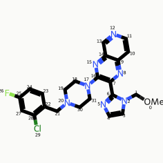 COCn1ccnc1-c1nc2ccncc2nc1N1CCN(Cc2ccc(F)cc2Cl)CC1